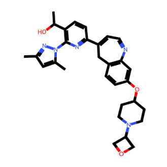 Cc1cc(C)n(-c2nc(C3=CC=Nc4cc(OC5CCN(C6COC6)CC5)ccc4C3)ccc2C(C)O)n1